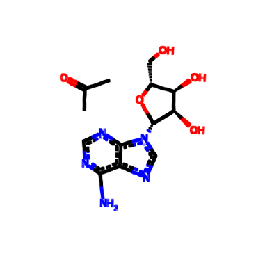 CC(C)=O.Nc1ncnc2c1ncn2[C@@H]1O[C@H](CO)[C@@H](O)[C@H]1O